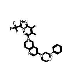 Cc1c(N2CCc3ncc(N4CCO[C@H](c5ccccc5)C4)cc3C2)nn2c(C(F)(F)F)nnc2c1C